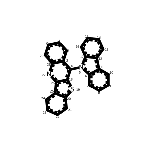 c1ccc2c(-n3c4ccccc4c4ccccc43)c3sc4ccccc4c3nc2c1